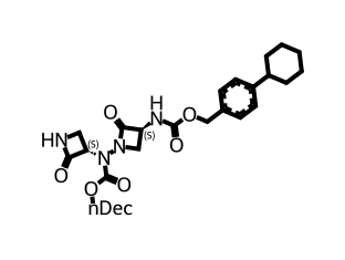 CCCCCCCCCCOC(=O)N([C@H]1CNC1=O)N1C[C@H](NC(=O)OCc2ccc(C3CCCCC3)cc2)C1=O